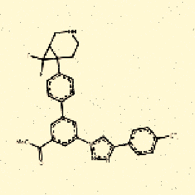 COC(=O)c1cc(-c2ccc(C34CCNCC3C4(F)F)cc2)cc(-n2cc(-c3ccc(C(F)(F)F)cc3)nn2)c1